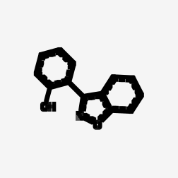 Oc1ccccc1-c1noc2ccccc12